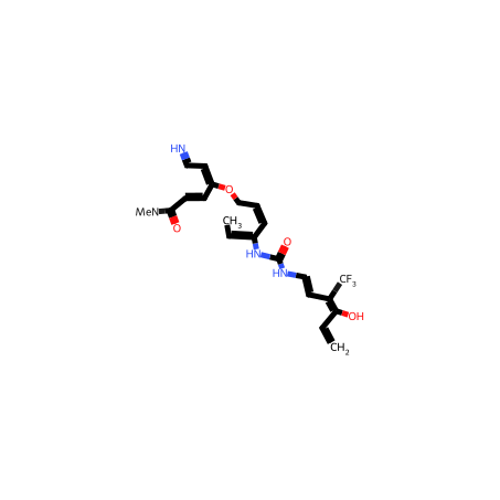 C=C/C(O)=C(\C=C\NC(=O)NC(/C=C\COC(/C=C/C(=O)NC)=C/C=N)=C/C)C(F)(F)F